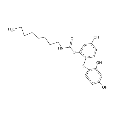 CCCCCCCCNC(=O)Oc1cc(O)ccc1Sc1ccc(O)cc1O